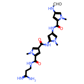 Cn1cc(NC(=O)c2cc(NC=O)cn2C)cc1NC(=O)c1cc(C(=O)NCCC(=N)N)n(C)c1